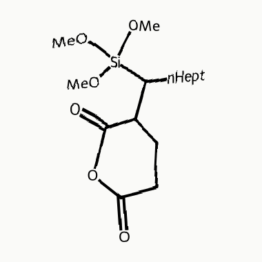 CCCCCCCC(C1CCC(=O)OC1=O)[Si](OC)(OC)OC